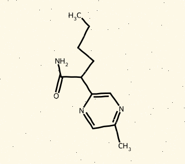 CCCCC(C(N)=O)c1cnc(C)cn1